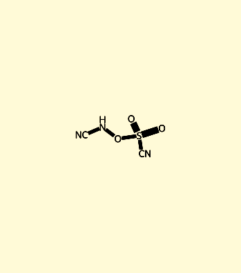 N#CNOS(=O)(=O)C#N